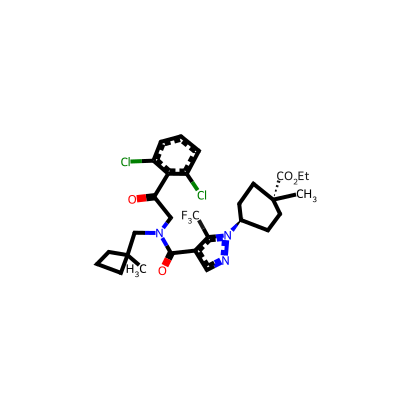 CCOC(=O)[C@]1(C)CC[C@@H](n2ncc(C(=O)N(CC(=O)c3c(Cl)cccc3Cl)CC3(C)CCC3)c2C(F)(F)F)CC1